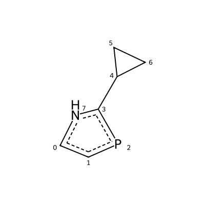 c1cpc(C2CC2)[nH]1